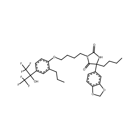 CCCCC1(c2ccc3c(c2)OCO3)NC(=O)N(CCCCOc2ccc(C(O)(C(F)(F)F)C(F)(F)F)cc2CCC)C1=O